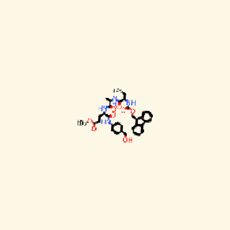 CC(C)CC(NC(=O)OCC1c2ccccc2-c2ccccc21)C(=O)NC(C)C(=O)NC(CCC(=O)OC(C)(C)C)C(=O)Nc1ccc(CO)cc1